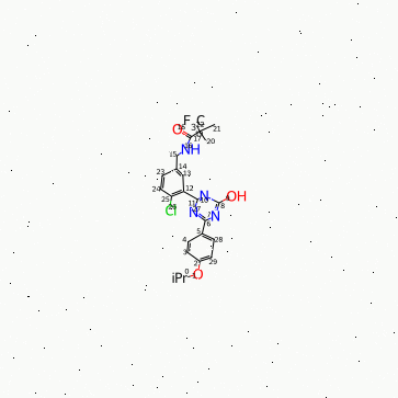 CC(C)Oc1ccc(-c2nc(O)nc(-c3cc(CNC(=O)C(C)(C)C(F)(F)F)ccc3Cl)n2)cc1